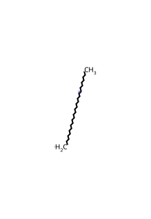 [CH2]CCCCCCCCCCCCCCCCCCC/C=C/CCCCCCCC